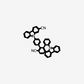 N#Cc1ccc2c3ccccc3n(-c3ccc(-c4c(C#N)cccc4-c4ccccc4-n4c5ccccc5c5ccccc54)cc3)c2c1